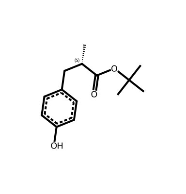 C[C@@H](Cc1ccc(O)cc1)C(=O)OC(C)(C)C